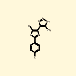 N#Cc1[nH]nnc1-c1nc(-c2ccc(Cl)cc2)sc1Cl